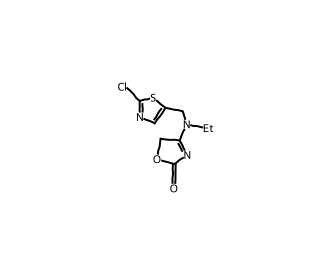 CCN(Cc1cnc(Cl)s1)C1=NC(=O)OC1